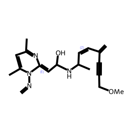 C=NN1C(C)=CC(C)=N/C1=C\C(O)NC(C)/C=C\C(=C)C#CCOC